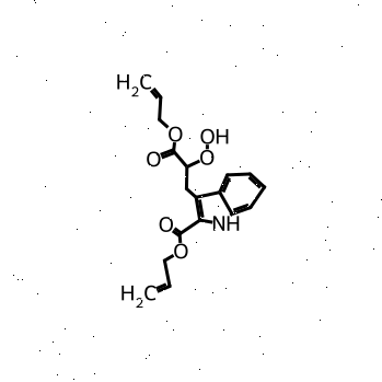 C=CCOC(=O)c1[nH]c2ccccc2c1CC(OO)C(=O)OCC=C